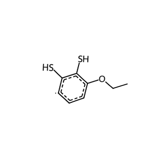 CCOc1cc[c]c(S)c1S